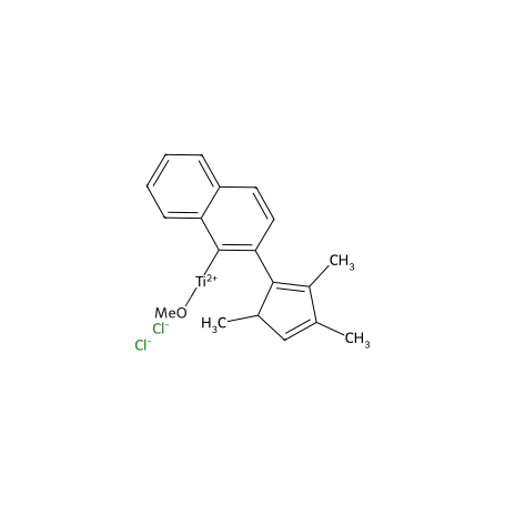 C[O][Ti+2][c]1c(C2=C(C)C(C)=CC2C)ccc2ccccc12.[Cl-].[Cl-]